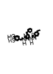 CCc1ccc2nc(Nc3cc(Cc4ccccc4)nc(NCCc4ccc(O)c(S)c4)n3)sc2c1